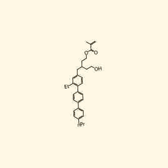 C=C(C)C(=O)OCCC(CCO)Cc1ccc(-c2ccc(-c3ccc(CCC)cc3)cc2)c(CC)c1